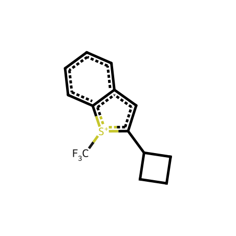 FC(F)(F)[s+]1c(C2CCC2)cc2ccccc21